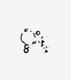 C=C[C@@H]1C[C@]1(NC(=O)[C@@H]1C[C@@H]2CN1C(=O)[C@H](C1CCCC1)NC(=O)N1CC[C@@H](C1)OCCC/C=C/c1cc3ccccc3nc1O2)C(=O)NS(=O)(=O)C1CC1